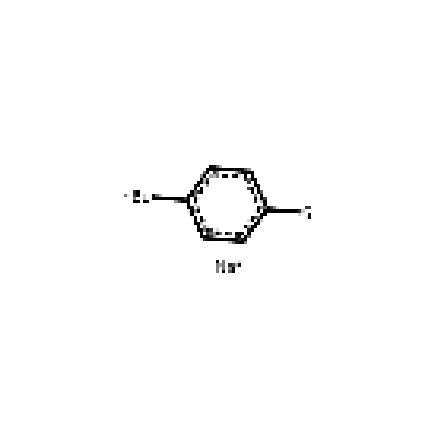 CCCCc1ccc([S-])cc1.[Na+]